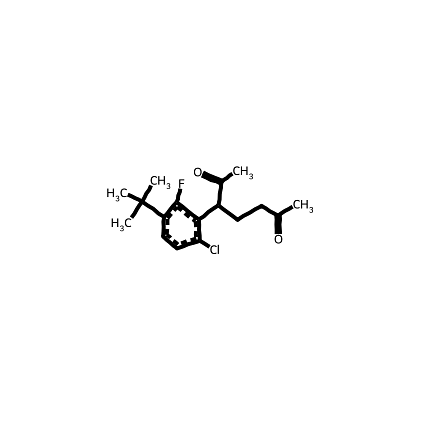 CC(=O)CCC(C(C)=O)c1c(Cl)ccc(C(C)(C)C)c1F